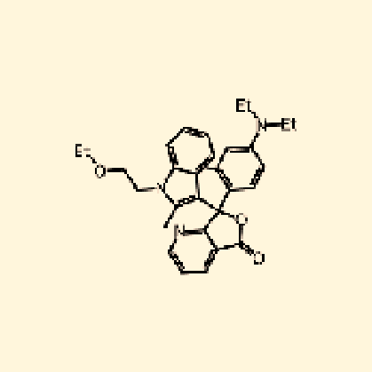 CCOCCn1c(C)c(C2(c3ccc(N(CC)CC)cc3C)OC(=O)c3cccnc32)c2ccccc21